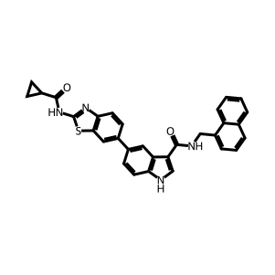 O=C(NCc1cccc2ccccc12)c1c[nH]c2ccc(-c3ccc4nc(NC(=O)C5CC5)sc4c3)cc12